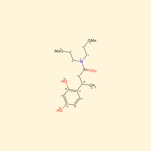 COCCN(CCOC)C(=O)CC(C)c1ccc(O)cc1O